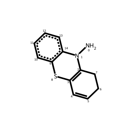 NN1C2=C(C=CCC2)Sc2ccccc21